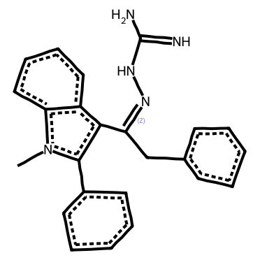 Cn1c(-c2ccccc2)c(/C(Cc2ccccc2)=N\NC(=N)N)c2ccccc21